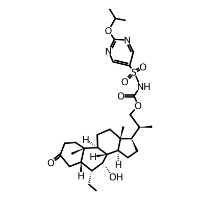 CC[C@H]1[C@@H](O)[C@@H]2[C@H](CC[C@]3(C)[C@@H]([C@H](C)COC(=O)NS(=O)(=O)c4cnc(OC(C)C)nc4)CC[C@@H]23)[C@@]2(C)CCC(=O)C[C@@H]12